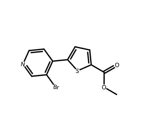 COC(=O)c1ccc(-c2ccncc2Br)s1